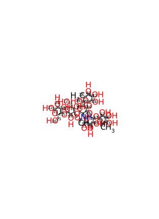 CC(=O)N[C@H]1[C@H](O[C@H]2[C@@H](O)[C@@H](CO)O[C@@H](O[C@H]3[C@H](O)[C@@H](O)C(O)O[C@@H]3CO)[C@@H]2O)O[C@H](CO)[C@@H](O[C@@H]2O[C@@H](C)[C@@H](O)[C@@H](O)[C@@H]2O)[C@@H]1O[C@@H]1O[C@H](CO)[C@H](O)[C@H](O)[C@H]1O[C@@H]1O[C@@H](C)[C@@H](O)[C@@H](O)[C@@H]1O